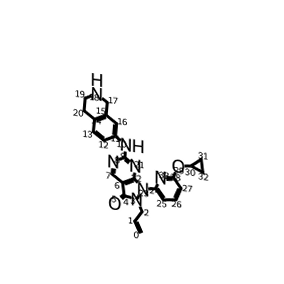 C=CCn1c(=O)c2cnc(Nc3ccc4c(c3)CNCC4)nc2n1-c1cccc(OC2CC2)n1